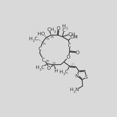 C/C(=C\c1csc(CN)n1)C1C[C@@H]2O[C@]2(C)CCC[C@H](C)[C@H](O)[C@@H](C)C(=O)C(C)(C)C(O)CC(=O)O1